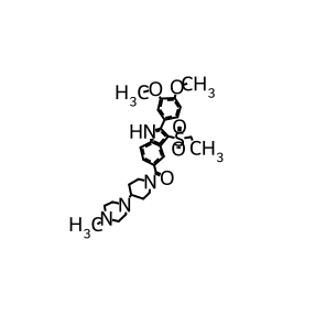 CCS(=O)(=O)c1c(-c2ccc(OC)c(OC)c2)[nH]c2ccc(C(=O)N3CCC(N4CCN(C)CC4)CC3)cc12